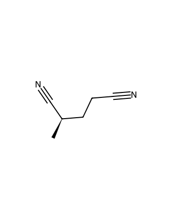 C[C@@H](C#N)CCC#N